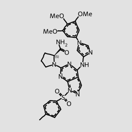 COc1cc(-n2cnc(Nc3nc(N4CCC[C@H]4C(N)=O)nc4c3cnn4S(=O)(=O)c3ccc(C)cc3)c2)cc(OC)c1OC